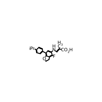 CC(=CNc1cc(-c2ccc(C(C)C)cc2)c2c(c1F)CCO2)C(=O)O